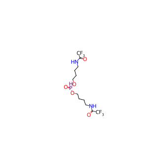 O=C(NCCCCO[PH](=O)OCCCCNC(=O)C(F)(F)F)C(F)(F)F